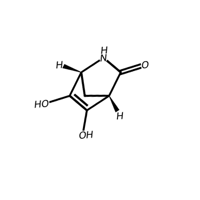 O=C1N[C@@H]2C[C@H]1C(O)=C2O